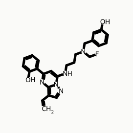 C=Cc1cnn2c(NCCCN(CF)Cc3cccc(O)c3)cc(-c3ccccc3O)nc12